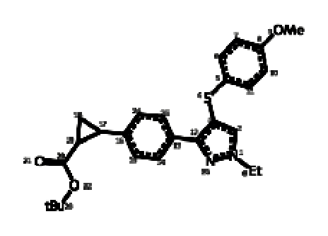 CCn1cc(Sc2ccc(OC)cc2)c(-c2ccc(C3CC3C(=O)OC(C)(C)C)cc2)n1